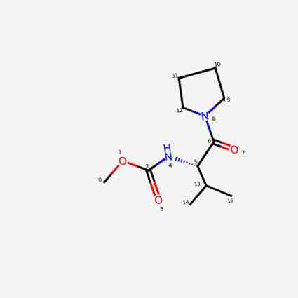 COC(=O)N[C@H](C(=O)N1[CH]CCC1)C(C)C